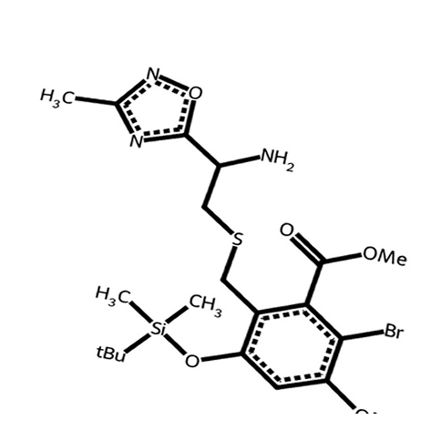 COC(=O)c1c(Br)c(OC)cc(O[Si](C)(C)C(C)(C)C)c1CSCC(N)c1nc(C)no1